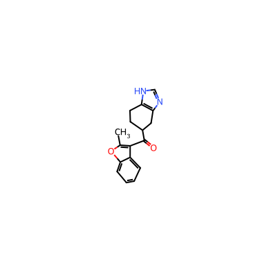 Cc1oc2ccccc2c1C(=O)C1CCc2[nH]cnc2C1